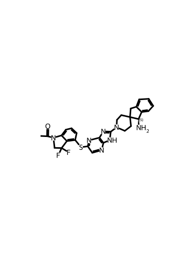 CC(=O)N1CC(F)(F)c2c(Sc3cnc4[nH]c(N5CCC6(CC5)Cc5ccccc5[C@H]6N)nc4n3)cccc21